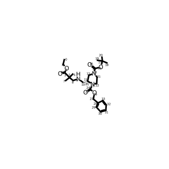 CCOC(=O)C(C)(C)CNC[C@@H]1CN(C(=O)OC(C)(C)C)CCN1C(=O)OCc1ccccc1